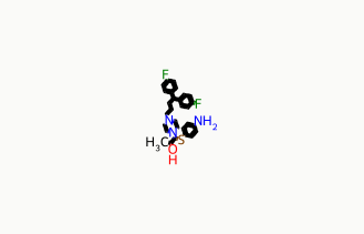 CC(O)C(Sc1ccc(N)cc1)N1CCN(CCCC(c2ccc(F)cc2)c2ccc(F)cc2)CC1